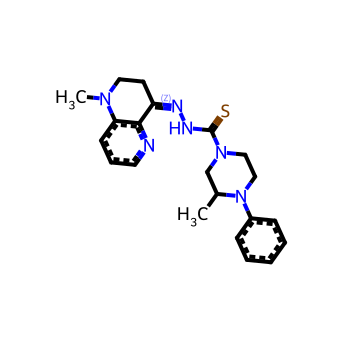 CC1CN(C(=S)N/N=C2/CCN(C)c3cccnc32)CCN1c1ccccc1